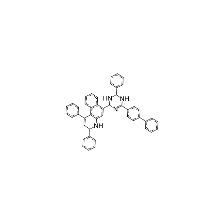 C1=C(c2ccccc2)c2c(cc(C3N=C(c4ccc(-c5ccccc5)cc4)NC(c4ccccc4)N3)c3ccccc23)NC1c1ccccc1